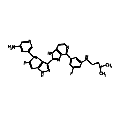 CN(C)CCNc1cc(F)cc(-c2nccc3[nH]c(-c4n[nH]c5cc(F)c(-c6cncc(N)c6)cc45)nc23)c1